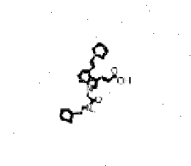 CN(CCc1ccccc1)C(=O)Cn1cc(C=CC(=O)O)c2c(C=Cc3ccccc3)cccc21